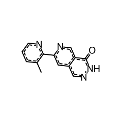 Cc1cccnc1-c1cc2cn[nH]c(=O)c2cn1